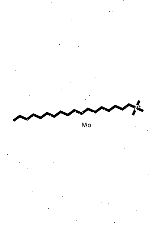 CCCCCCCCCCCCCCCCCC[N+](C)(C)C.[Mo]